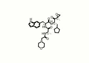 C[C@H](NC(=O)CN1CCOCC1)C(=O)N[C@@H](Cc1ccc2cc[nH]c2c1)C(=O)N[C@@H](CC1CCCC1)C(=O)[C@]1(C)CO1